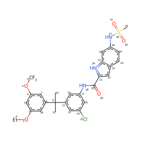 CCOc1cc(OC(F)(F)F)cc(C(C)(C)c2cc(Cl)cc(NC(=O)c3cc4ccc(NS(C)(=O)=O)cc4[nH]3)c2)c1